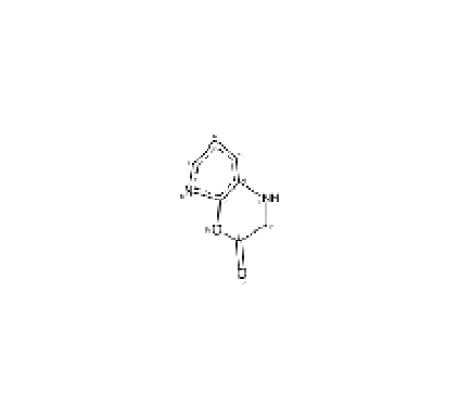 O=C1CNc2cccnc2O1